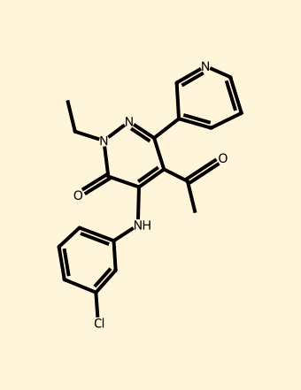 CCn1nc(-c2cccnc2)c(C(C)=O)c(Nc2cccc(Cl)c2)c1=O